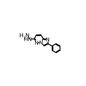 NNc1ccc2nc(-c3ccccc3)cn2n1